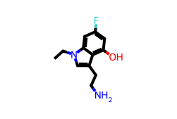 CCn1cc(CCN)c2c(O)cc(F)cc21